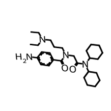 CCN(CC)CCCN(CC(=O)N(C1CCCCC1)C1CCCCC1)C(=O)c1ccc(N)cc1